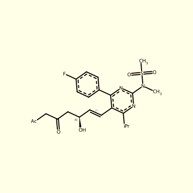 CC(=O)CC(=O)C[C@H](O)/C=C/c1c(-c2ccc(F)cc2)nc(N(C)S(C)(=O)=O)nc1C(C)C